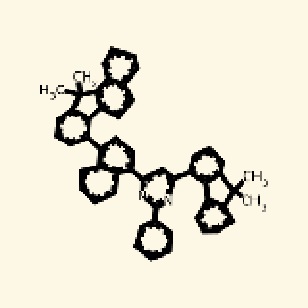 CC1(C)c2ccccc2-c2c(-c3cc(-c4ccc(-c5cccc6c5-c5ccc7ccccc7c5C6(C)C)c5ccccc45)nc(-c4ccccc4)n3)cccc21